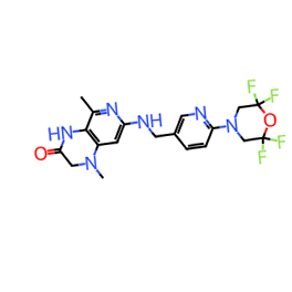 Cc1nc(NCc2ccc(N3CC(F)(F)OC(F)(F)C3)nc2)cc2c1NC(=O)CN2C